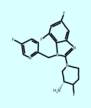 N[C@@H]1CN(c2nc3cc(F)cc(F)c3n2Cc2ccc(F)cn2)CCC1F